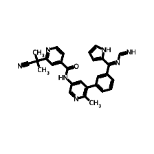 Cc1ncc(NC(=O)c2ccnc(C(C)(C)C#N)c2)cc1-c1cccc(/C(=N/C=N)c2ccc[nH]2)c1